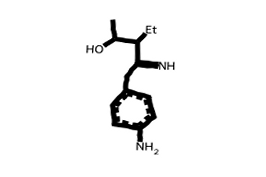 CCC(C(=N)Cc1ccc(N)cc1)C(C)O